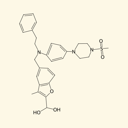 Cc1c(C(O)O)oc2ccc(CN(CCc3ccccc3)c3ccc(N4CCN(S(C)(=O)=O)CC4)cc3)cc12